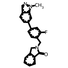 Cn1ncc2ccc(-c3ccc(CN4Cc5ccccc5C4=O)c(F)c3)cc21